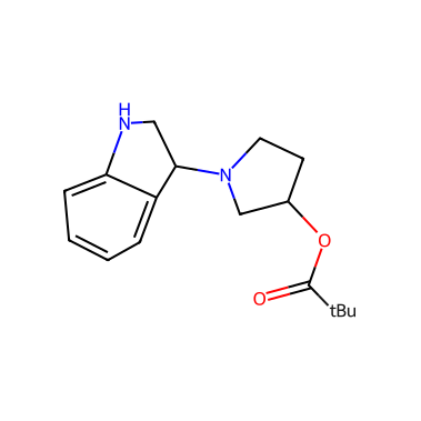 CC(C)(C)C(=O)OC1CCN(C2CNc3ccccc32)C1